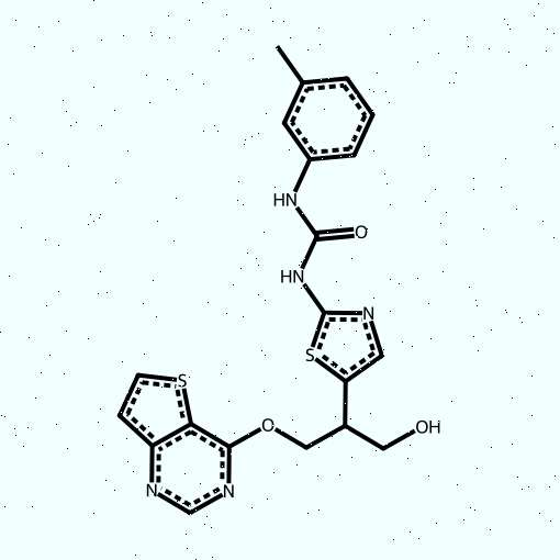 Cc1cccc(NC(=O)Nc2ncc(C(CO)COc3ncnc4ccsc34)s2)c1